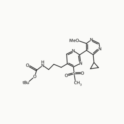 COc1ncnc(C2CC2)c1-c1ncc(CCCNC(=O)OC(C)(C)C)c(S(C)(=O)=O)n1